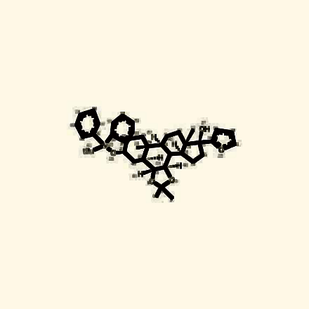 CC1(C)O[C@H]2[C@H](O1)C1[C@H](CC[C@@]3(C)[C@H]1CC[C@@]3(O)c1ccco1)[C@@]1(C)CC[C@H](O[Si](c3ccccc3)(c3ccccc3)C(C)(C)C)C[C@H]21